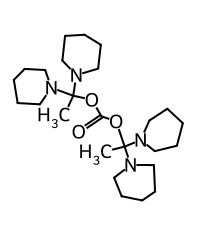 CC(OC(=O)OC(C)(N1CCCCC1)N1CCCCC1)(N1CCCCC1)N1CCCCC1